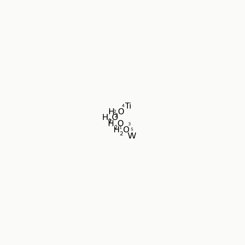 O.O.O.O.[Ti].[W]